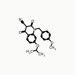 COc1ccc(CN2C(=O)C(C#N)C(=O)c3ccc(OC(C)C)cc32)cc1